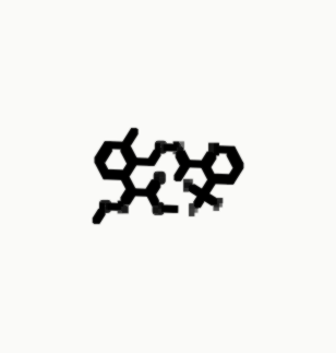 CO/N=C(/C(=O)OC)c1cccc(C)c1CO/N=C(\C)c1ncccc1C(F)(F)F